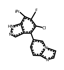 CC(C)c1c(F)c(Cl)c(-c2ccc3nccn3c2)c2cn[nH]c12